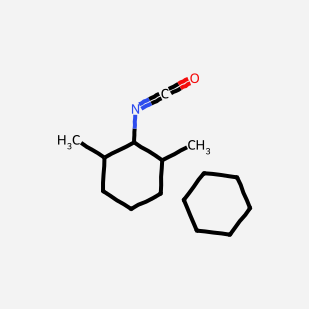 C1CCCCC1.CC1CCCC(C)C1N=C=O